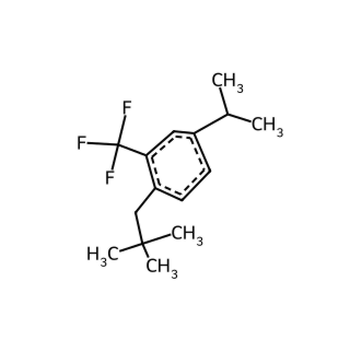 CC(C)c1ccc(CC(C)(C)C)c(C(F)(F)F)c1